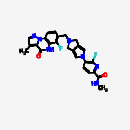 CNC(=O)c1ccc(-n2cc3c(c2)CN(Cc2ccc4c([nH]c(=O)c5c(C)cnn54)c2F)C3)c(F)n1